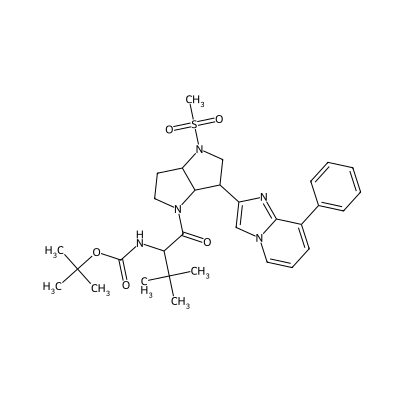 CC(C)(C)OC(=O)NC(C(=O)N1CCC2C1C(c1cn3cccc(-c4ccccc4)c3n1)CN2S(C)(=O)=O)C(C)(C)C